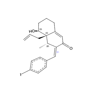 C=CC[C@@]12C(=CC(=O)/C(=C/c3ccc(I)cc3)[C@@H]1C)CCC[C@@H]2O